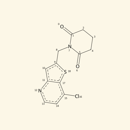 O=C1CCCC(=O)N1Cc1cc2nccc(Cl)c2s1